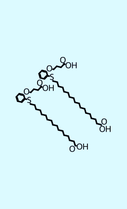 O=C(O)CCCCCCCCCCCCCCCCCSc1ccccc1OCCCC(=O)O.O=C(O)CCCCCCCCCCCCCCCCSc1ccccc1OCCCC(=O)O